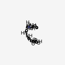 N=C(/C(C(N)=O)=C1/NCC[C@@H](C2CCC(NCCNCC3CCN(c4ccc5c(c4)C(=O)N(C4CCC(=O)NC4=O)C5=O)CC3)CC2)N1)c1ccc(Oc2ccccc2)cc1